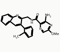 COc1cnc(C(=O)NCc2nc3ccccc3cc2-c2ccccc2C)c(N)n1